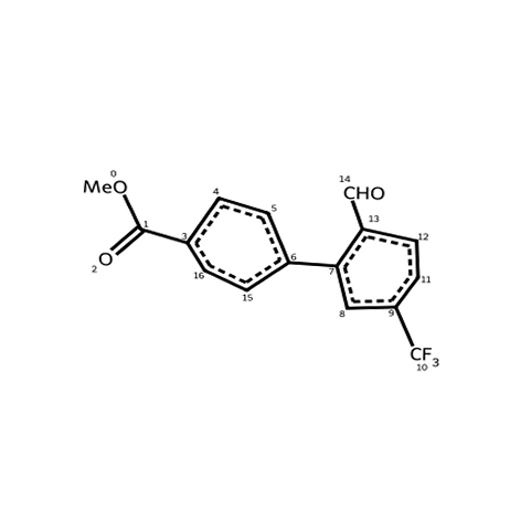 COC(=O)c1ccc(-c2cc(C(F)(F)F)ccc2C=O)cc1